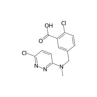 CN(Cc1ccc(Cl)c(C(=O)O)c1)c1ccc(Cl)nn1